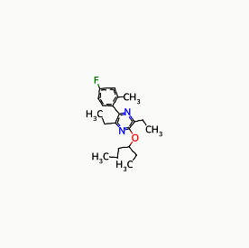 CCCC(CC)Oc1nc(CC)c(-c2ccc(F)cc2C)nc1CC